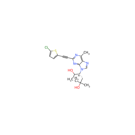 Cc1nc(C#Cc2ccc(Cl)s2)nc2c1ncn2[C@H](CC(C)(C)O)C(C)O